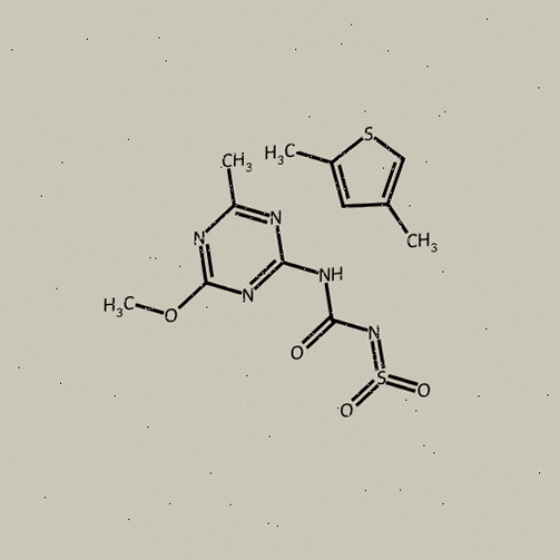 COc1nc(C)nc(NC(=O)N=S(=O)=O)n1.Cc1csc(C)c1